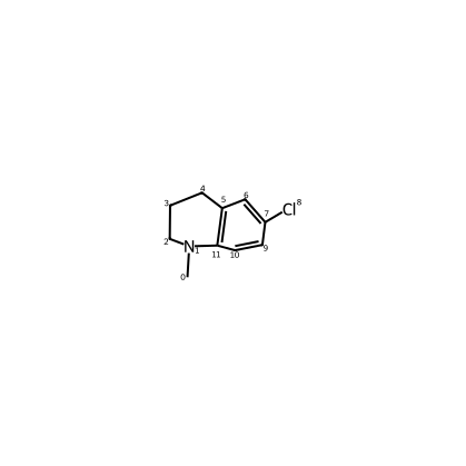 CN1CCCc2cc(Cl)ccc21